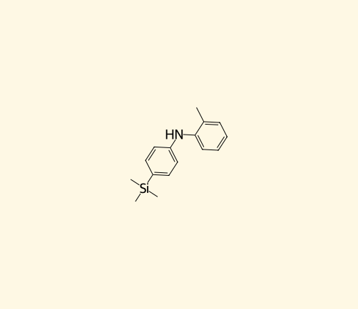 Cc1ccccc1Nc1ccc([Si](C)(C)C)cc1